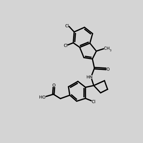 CC1C(C(=O)NC2(c3ccc(CC(=O)O)cc3Cl)CCC2)=Cc2c1ccc(Cl)c2Cl